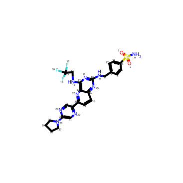 NS(=O)(=O)c1ccc(CNc2nc(NCC(F)(F)F)c3nc(-c4cnc(N5CCCC5)cn4)ccc3n2)cc1